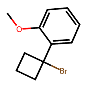 COc1ccccc1C1(Br)CCC1